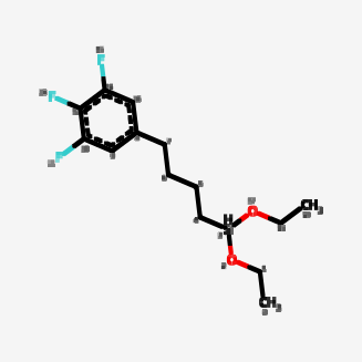 CCO[SiH](CCCCc1cc(F)c(F)c(F)c1)OCC